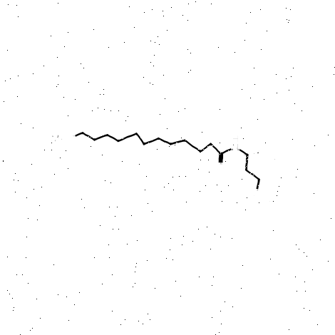 COCCCCCCCCCCCC(=O)N[C@@H](CCC(=O)O)C(=O)O